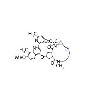 CCOC(=O)C12CC1/C=C/CCCCN(C)C(=O)C1CC(Oc3cc(-c4cccc(C)n4)nc4c(C)c(OC)ccc34)CC1C(=O)N2